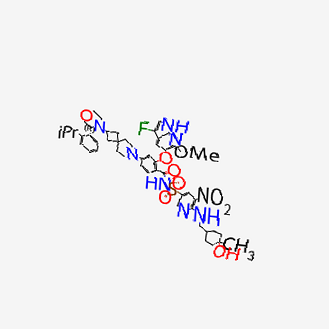 COc1nc2[nH]cc(F)c2cc1Oc1cc(N2CCC3(CC2)CC(N2CCOC[C@H]2c2ccccc2C(C)C)C3)ccc1C(=O)NS(=O)(=O)c1cnc(NCC2CCC(C)(O)CC2)c([N+](=O)[O-])c1